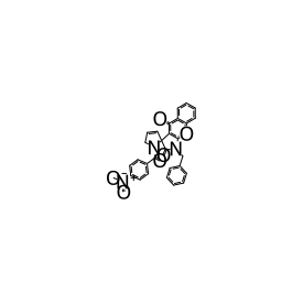 O=C(c1ccc([N+](=O)[O-])cc1)N1CC=CC12C(=O)N(Cc1ccccc1)c1oc3ccccc3c(=O)c12